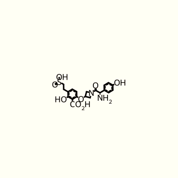 N[C@@H](C(=O)N1CC(Oc2ccc(CCS(=O)O)c(O)c2C(=O)O)C1)c1ccc(O)cc1